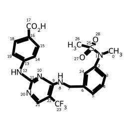 CN(c1cccc(CNc2nc(Nc3ccc(C(=O)O)cc3)ncc2C(F)(F)F)c1)S(C)(=O)=O